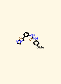 COc1ccc(NC(=S)Nc2cccc(C3CN4CCN=C4S3)c2)cc1